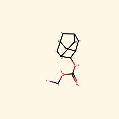 O=C(OCI)OC1C2CC3CC(C2)CC1C3